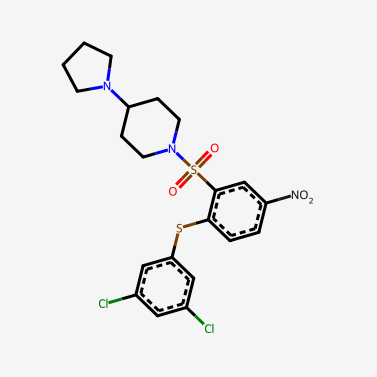 O=[N+]([O-])c1ccc(Sc2cc(Cl)cc(Cl)c2)c(S(=O)(=O)N2CCC(N3CCCC3)CC2)c1